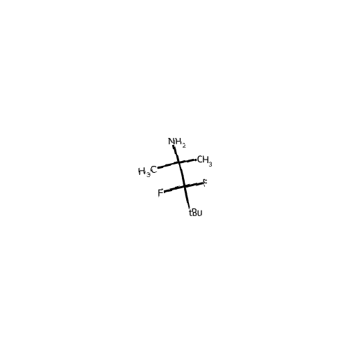 CC(C)(C)C(F)(F)C(C)(C)N